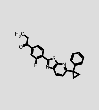 CCC(=O)c1ccc(-c2nc3ccc(C4(c5ccccc5)CC4)nc3s2)c(F)c1